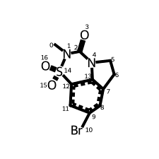 CN1C(=O)N2CCc3cc(Br)cc(c32)S1(=O)=O